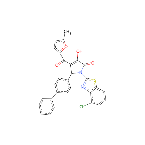 Cc1ccc(C(=O)C2=C(O)C(=O)N(c3nc4c(Cl)cccc4s3)C2c2ccc(-c3ccccc3)cc2)o1